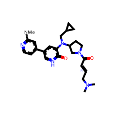 CNc1cc(-c2c[nH]c(=O)c(N(CC3CC3)C3CCN(C(=O)/C=C/CN(C)C)C3)c2)ccn1